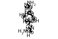 Nc1nc2c(ncn2[C@@H]2S[C@@H]3COP(=O)(S)O[C@H]4[C@H](F)[C@H](n5cnc6c(N)ncnc65)O[C@@H]4COP(=O)(S)O[C@@H]2[C@H]3F)c(=O)[nH]1